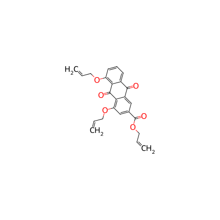 C=CCOC(=O)c1cc(OCC=C)c2c(c1)C(=O)c1cccc(OCC=C)c1C2=O